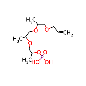 C=CCOCC(C)OCC(C)OCC(C)OP(=O)(O)O